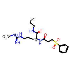 CC(C)CCNC(=O)[C@H](CCCNC(=N)N[N+](=O)[O-])NC(=O)CCS(=O)(=O)c1ccccc1